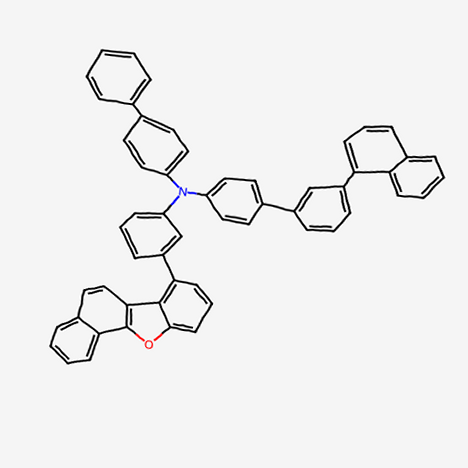 c1ccc(-c2ccc(N(c3ccc(-c4cccc(-c5cccc6ccccc56)c4)cc3)c3cccc(-c4cccc5oc6c7ccccc7ccc6c45)c3)cc2)cc1